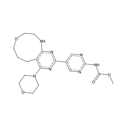 COC(=O)Nc1ncc(-c2nc3c(c(N4CCOCC4)n2)CCCOCCN3)cn1